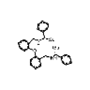 CC(C)(C)[C@@H](NCc1ccccc1Oc1ccccc1CN[C@@H](c1ccccc1)C(C)(C)C)c1ccccc1